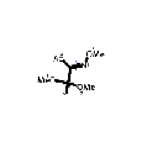 CO/N=C(\C(C)=O)C(C)(OC)OC